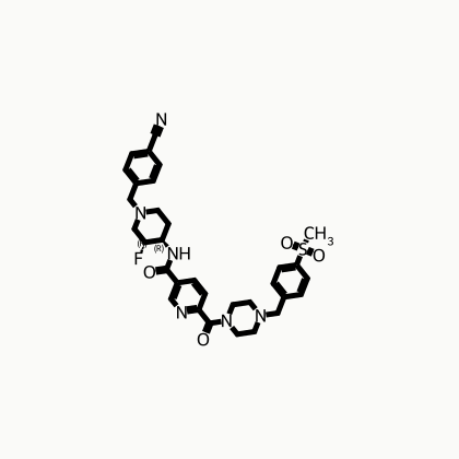 CS(=O)(=O)c1ccc(CN2CCN(C(=O)c3ccc(C(=O)N[C@@H]4CCN(Cc5ccc(C#N)cc5)C[C@H]4F)cn3)CC2)cc1